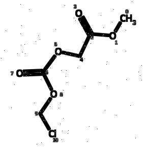 COC(=O)COC(=O)OCCl